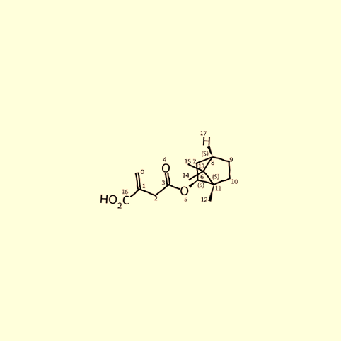 C=C(CC(=O)O[C@H]1C[C@@H]2CC[C@@]1(C)C2(C)C)C(=O)O